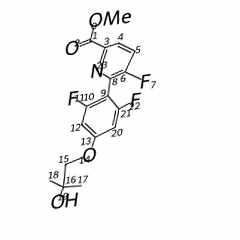 COC(=O)c1ccc(F)c(-c2c(F)cc(OCC(C)(C)O)cc2F)n1